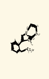 O=C(O)c1ccccc1-c1cn2ccsc2n1